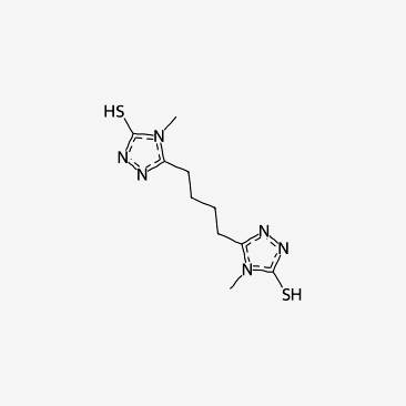 Cn1c(S)nnc1CCCCc1nnc(S)n1C